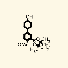 COc1ccc(C2CCC(O)CC2)cc1B1OC(C)(C)C(C)(C)O1